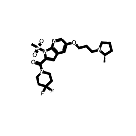 C[C@@H]1CCCN1CCCOc1cnc2c(c1)cc(C(=O)N1CCC(F)(F)CC1)n2S(C)(=O)=O